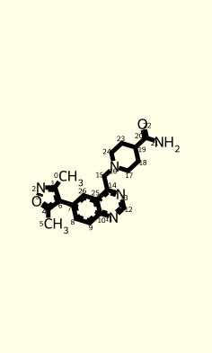 Cc1noc(C)c1-c1ccc2ncnc(CN3CCC(C(N)=O)CC3)c2c1